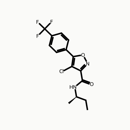 CC[C@@H](C)NC(=O)c1noc(-c2ccc(C(F)(F)F)cc2)c1Cl